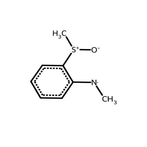 C[N]c1ccccc1[S+](C)[O-]